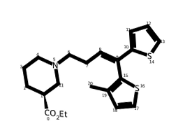 CCOC(=O)[C@H]1CCCN(CCC=C(c2cccs2)c2sccc2C)C1